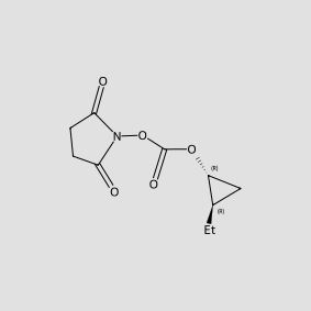 CC[C@@H]1C[C@H]1OC(=O)ON1C(=O)CCC1=O